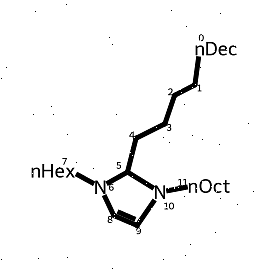 CCCCCCCCCCCCCCC1N(CCCCCC)C=CN1CCCCCCCC